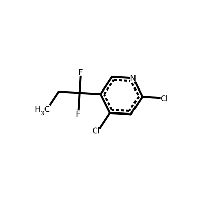 CCC(F)(F)c1cnc(Cl)cc1Cl